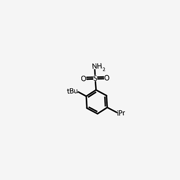 CC(C)c1ccc(C(C)(C)C)c(S(N)(=O)=O)c1